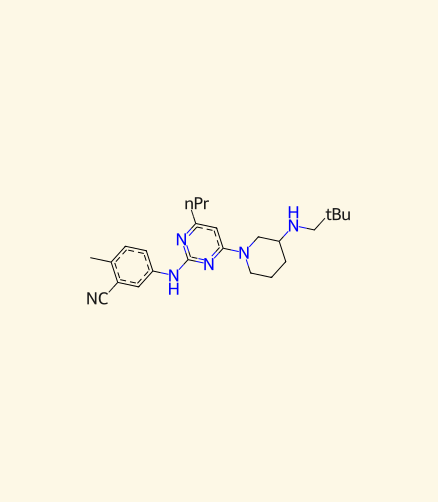 CCCc1cc(N2CCCC(NCC(C)(C)C)C2)nc(Nc2ccc(C)c(C#N)c2)n1